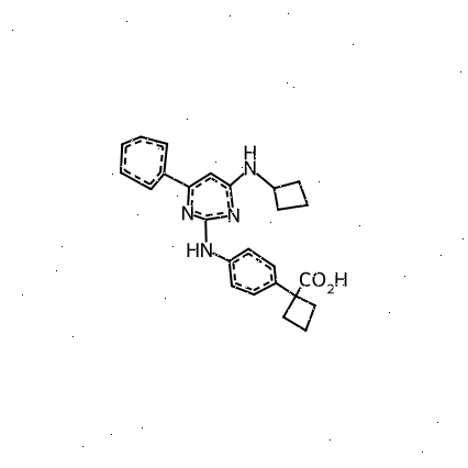 O=C(O)C1(c2ccc(Nc3nc(NC4CCC4)cc(-c4ccccc4)n3)cc2)CCC1